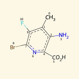 Cc1c(N)c(C(=O)O)nc(Br)c1F